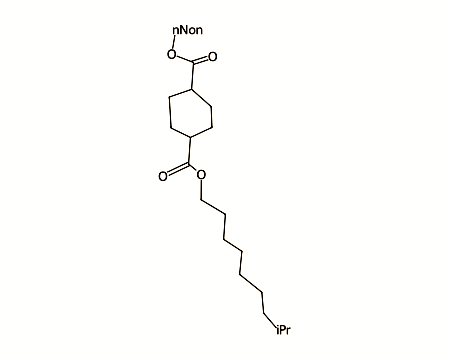 CCCCCCCCCOC(=O)C1CCC(C(=O)OCCCCCCCC(C)C)CC1